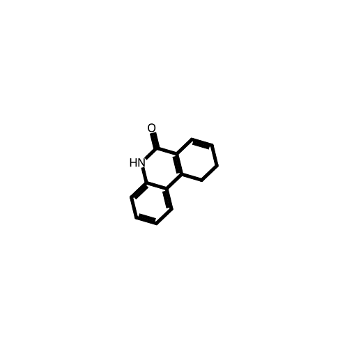 O=c1[nH]c2ccccc2c2c1C=CCC2